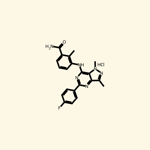 Cc1c(Nc2nc(-c3ccc(F)cc3)nc3c(C)nn(C)c23)cccc1C(N)=O.Cl